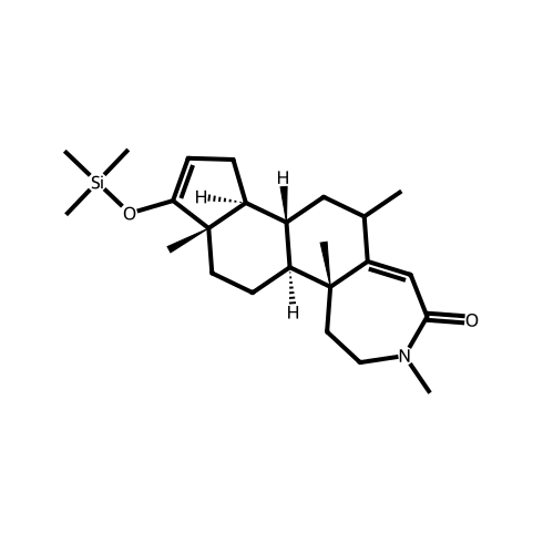 CC1C[C@@H]2[C@H](CC[C@]3(C)C(O[Si](C)(C)C)=CC[C@@H]23)[C@@]2(C)CCN(C)C(=O)C=C12